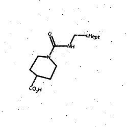 CCCCCCCCNC(=O)N1CCC(C(=O)O)CC1